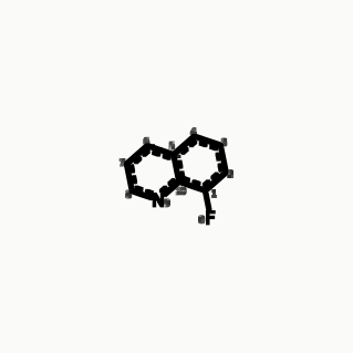 Fc1cccc2[c]ccnc12